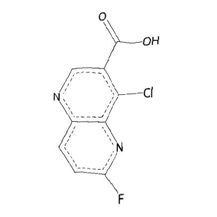 O=C(O)c1cnc2ccc(F)nc2c1Cl